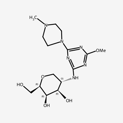 COc1nc(N[C@H]2CO[C@H](CO)[C@H](O)[C@@H]2O)nc(N2CCN(C)CC2)n1